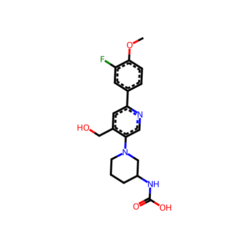 COc1ccc(-c2cc(CO)c(N3CCCC(NC(=O)O)C3)cn2)cc1F